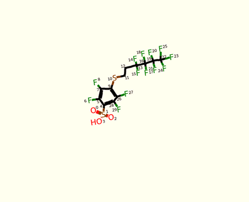 O=S(=O)(O)c1c(F)c(F)c(SCCC(F)(F)C(F)(F)C(F)(F)C(F)(F)F)c(F)c1F